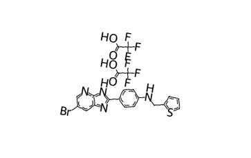 Brc1cnc2[nH]c(-c3ccc(NCc4cccs4)cc3)nc2c1.O=C(O)C(F)(F)F.O=C(O)C(F)(F)F